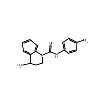 NC1CCN(C(=O)Nc2ccc(C(F)(F)F)cc2)c2ccccc21